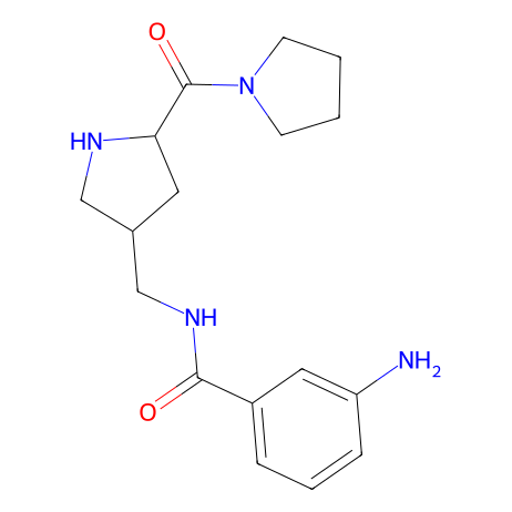 Nc1cccc(C(=O)NCC2CNC(C(=O)N3CCCC3)C2)c1